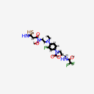 CCN(CCN(OC)C(=O)CC(=N)S)c1ccc(N2C[C@H](CNC(=O)C(F)F)OC2=O)cc1F